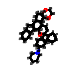 C1=CC(c2ccccc2)(c2ccc(N3CCCCC3)cc2)Oc2c3c(c4ccc5c(c4c21)OCCO5)Cc1ccccc1-3